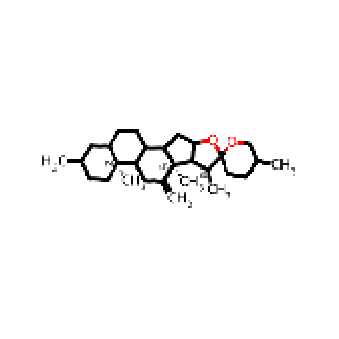 C=C1CC2C(CCC3CC(C)CC[C@@]32C)C2CC3OC4(CCC(C)CO4)[C@@H](C)C3[C@@]12C